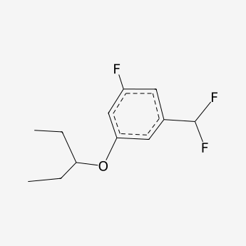 CCC(CC)Oc1cc(F)cc(C(F)F)c1